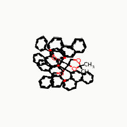 CC1(C)OCC(C(OCc2ccccc2)(c2cc3ccccc3c3ccccc23)c2cc3ccccc3c3ccccc23)(C(OCc2ccccc2)(c2cc3ccccc3c3ccccc23)c2cc3ccccc3c3ccccc23)O1